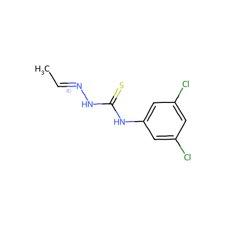 C/C=N/NC(=S)Nc1cc(Cl)cc(Cl)c1